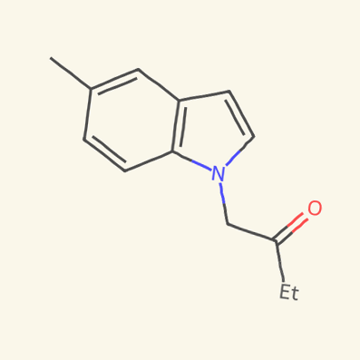 CCC(=O)Cn1ccc2cc(C)ccc21